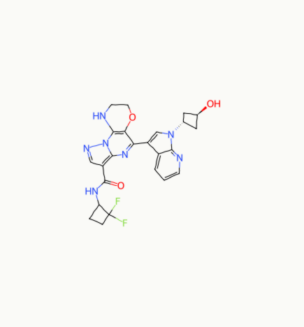 O=C(NC1CCC1(F)F)c1cnn2c3c(c(-c4cn([C@H]5C[C@H](O)C5)c5ncccc45)nc12)OCCN3